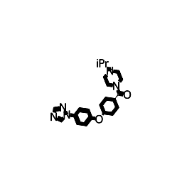 CC(C)N1CCN(C(=O)[C@H]2CC[C@H](Oc3ccc(-n4cncn4)cc3)CC2)CC1